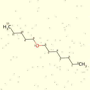 CCCCCC[CH]OCCCCC